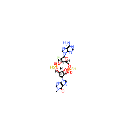 Cn1cnc2c(ncn2[C@@H]2C[C@@H]3OP(=O)(S)O[C@H]4[C@@H](F)[C@H](n5cnc6c(N)ncnc65)O[C@@H]4COP(=O)(S)O[C@@H]2[C@@H]3O)c1=O